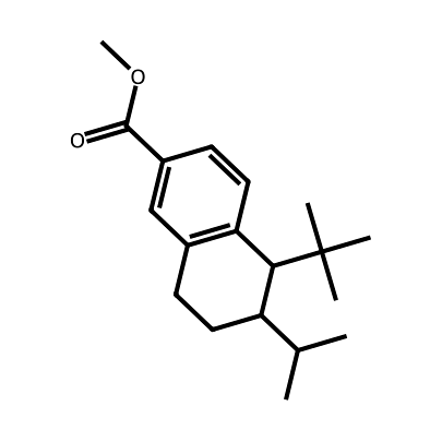 COC(=O)c1ccc2c(c1)CCC(C(C)C)C2C(C)(C)C